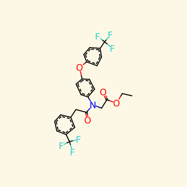 CCOC(=O)CN(C(=O)Cc1cccc(C(F)(F)F)c1)c1ccc(Oc2ccc(C(F)(F)F)cc2)cc1